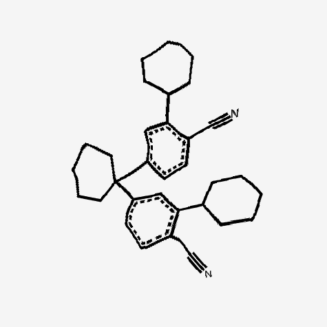 N#Cc1ccc(C2(c3ccc(C#N)c(C4CCCCC4)c3)CCCCC2)cc1C1CCCCC1